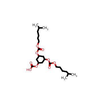 CC(C)CCCCOC(=O)OC1CC(OC(=O)O)CC(OC(=O)OCCCCC(C)C)C1